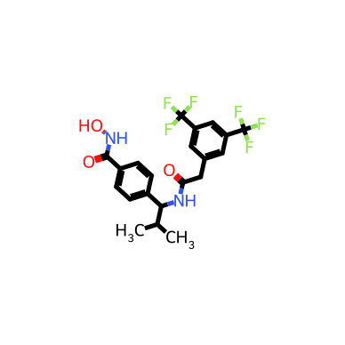 CC(C)C(NC(=O)Cc1cc(C(F)(F)F)cc(C(F)(F)F)c1)c1ccc(C(=O)NO)cc1